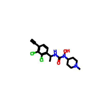 C#Cc1ccc(C(C)NC(=O)N(O)C2CCN(C)CC2)c(Cl)c1Cl